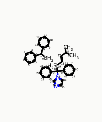 BC(c1ccccc1)c1ccccc1.CC(C)C=C[SiH2]C(c1ccccc1)(c1ccccc1)n1ccnc1